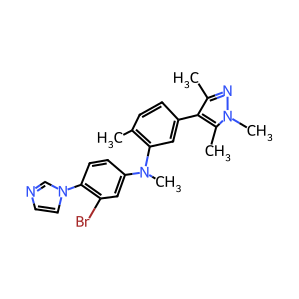 Cc1ccc(-c2c(C)nn(C)c2C)cc1N(C)c1ccc(-n2ccnc2)c(Br)c1